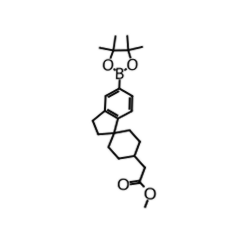 COC(=O)CC1CCC2(CCc3cc(B4OC(C)(C)C(C)(C)O4)ccc32)CC1